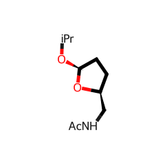 CC(=O)NC[C@@H]1CC[C@H](OC(C)C)O1